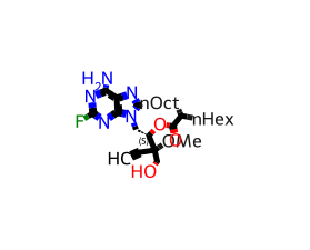 C#CC(CO)(OC)[C@H](Cn1cnc2c(N)nc(F)nc21)OC(=O)C(CCCCCC)CCCCCCCC